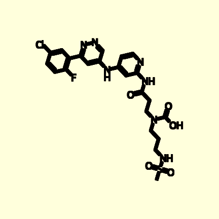 CS(=O)(=O)NCCCN(CCC(=O)Nc1cc(Nc2cnnc(-c3cc(Cl)ccc3F)c2)ccn1)C(=O)O